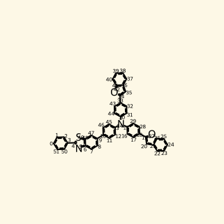 c1ccc(-c2nc3ccc(-c4ccc(N(c5ccc(-c6cc7ccccc7o6)cc5)c5ccc(-c6cc7ccccc7o6)cc5)cc4)cc3s2)cc1